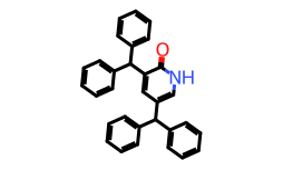 O=c1[nH]cc(C(c2ccccc2)c2ccccc2)cc1C(c1ccccc1)c1ccccc1